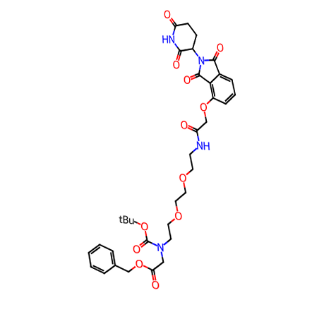 CC(C)(C)OC(=O)N(CCOCCOCCNC(=O)COc1cccc2c1C(=O)N(C1CCC(=O)NC1=O)C2=O)CC(=O)OCc1ccccc1